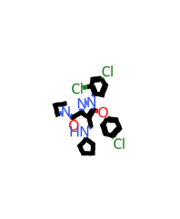 O=C(c1nn(-c2ccc(Cl)cc2Cl)c(Oc2ccc(Cl)cc2)c1CNC1CCCC1)N1CCC1